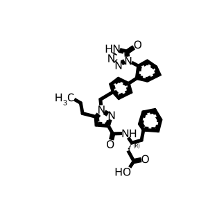 CCCc1cc(C(=O)N[C@@H](CC(=O)O)Cc2ccccc2)nn1Cc1ccc(-c2ccccc2-n2nn[nH]c2=O)cc1